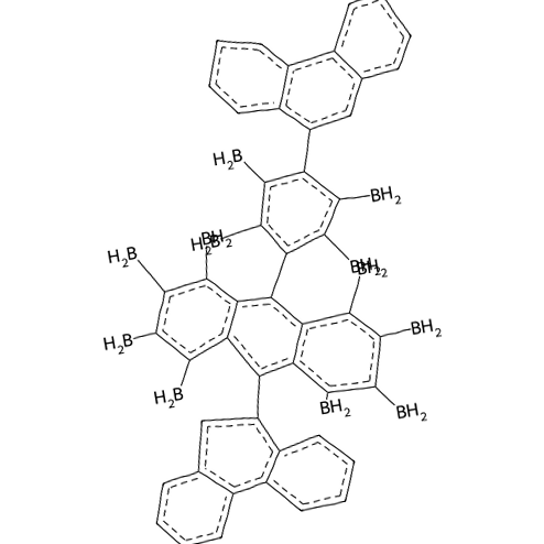 Bc1c(B)c(-c2c3c(B)c(B)c(B)c(B)c3c(-c3cc4ccccc4c4ccccc34)c3c(B)c(B)c(B)c(B)c23)c(B)c(B)c1-c1cc2ccccc2c2ccccc12